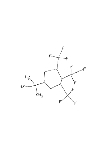 CC(C)(C)C1CC(C(F)(F)F)C(C(F)(F)F)C(C(F)(F)F)C1